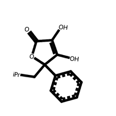 CC(C)CC1(c2ccccc2)OC(=O)C(O)=C1O